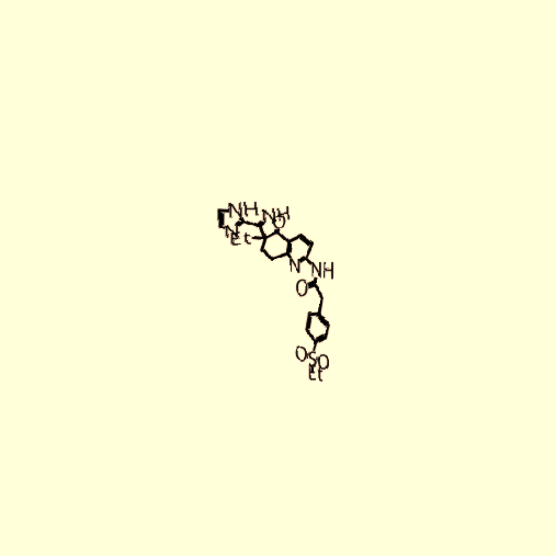 CCC1(C(=N)c2ncc[nH]2)CCc2nc(NC(=O)Cc3ccc(S(=O)(=O)CC)cc3)ccc2C1=O